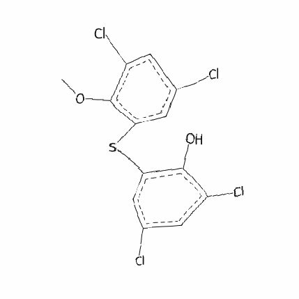 COc1c(Cl)cc(Cl)cc1Sc1cc(Cl)cc(Cl)c1O